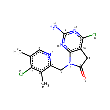 Cc1cnc(CN2C(=O)Cc3c(Cl)nc(N)nc32)c(C)c1Cl